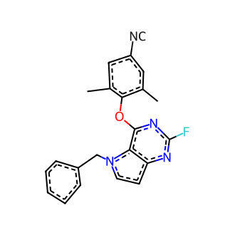 [C-]#[N+]c1cc(C)c(Oc2nc(F)nc3ccn(Cc4ccccc4)c23)c(C)c1